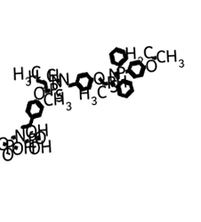 C=C(C)Oc1ccc(P(=N[PH](=S)C(C)Oc2ccc(C=NN(C)[PH](=S)C(C)(CCC)Oc3ccc(CCN(CP(=O)(O)O)CP(=O)(O)O)cc3)cc2)(c2ccccc2)c2ccccc2)cc1